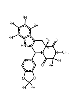 [2H]c1c([2H])c([2H])c2c3c([nH]c2c1[2H])C(c1ccc2c(c1)OC([2H])([2H])O2)N1C(=O)C([2H])([2H])N(C)C(=O)[C@@]1([2H])C3